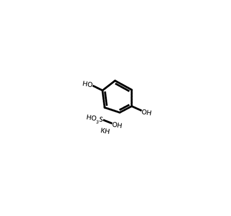 O=S(=O)(O)O.Oc1ccc(O)cc1.[KH]